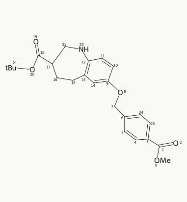 COC(=O)c1ccc(COc2ccc3c(c2)CCC(C(=O)OC(C)(C)C)CN3)cc1